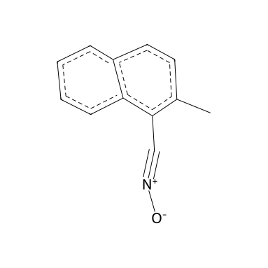 Cc1ccc2ccccc2c1C#[N+][O-]